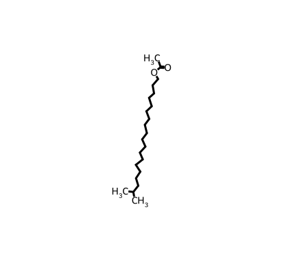 CC(=O)OCCCCCCCCCCCCCCCCCC(C)C